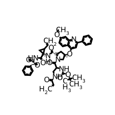 C=CC(=O)NCC(NC(=O)OC(C)(C)C)C(=O)N1C[C@H](Oc2cc(-c3ccccc3)nc3cc(OC)ccc23)C[C@H]1C(=O)N[C@]1(C(=O)NS(=O)(=O)c2ccccc2)CC1C=C